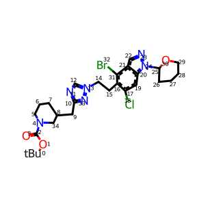 CC(C)(C)OC(=O)N1CCCC(Cc2ncn(CCc3c(Cl)cc4c(cnn4C4CCCCO4)c3Br)n2)C1